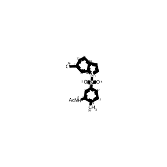 CC(=O)Nc1cc(S(=O)(=O)n2ccc3ccc(Cl)cc32)ccc1C